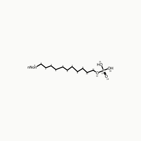 CCCCCCCCCCCCCCCCCCCCOP(=O)(O)O